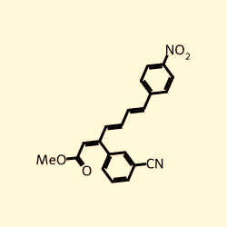 COC(=O)C=C(C=CC=Cc1ccc([N+](=O)[O-])cc1)c1cccc(C#N)c1